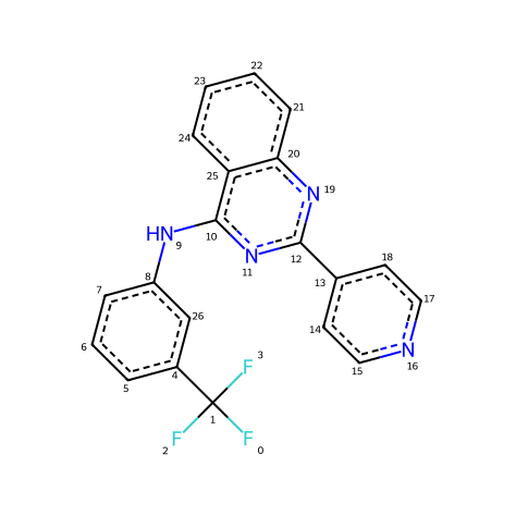 FC(F)(F)c1cccc(Nc2nc(-c3ccncc3)nc3ccccc23)c1